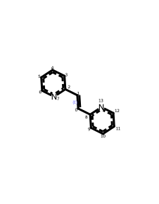 C(=C\c1ccccn1)/c1ccccn1